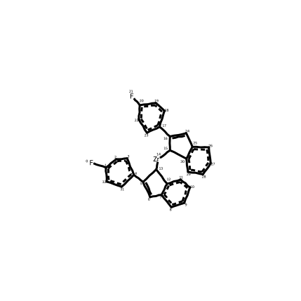 Fc1ccc(C2=Cc3ccccc3[CH]2[Zr][CH]2C(c3ccc(F)cc3)=Cc3ccccc32)cc1